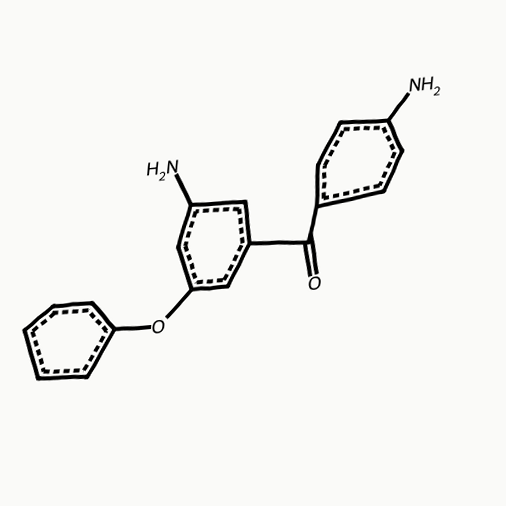 Nc1ccc(C(=O)c2cc(N)cc(Oc3ccccc3)c2)cc1